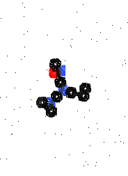 c1ccc2c(-c3ccc(N(c4ccc(-c5nc6ccccc6o5)cc4)c4ccc(-n5c6ccccc6c6ccccc65)cc4)cc3)cccc2c1